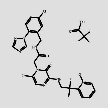 O=C(Cn1c(Cl)cnc(NCC(F)(F)c2cccc[n+]2[O-])c1=O)NCc1cc(Cl)ccc1-n1cncn1.O=C(O)C(F)(F)F